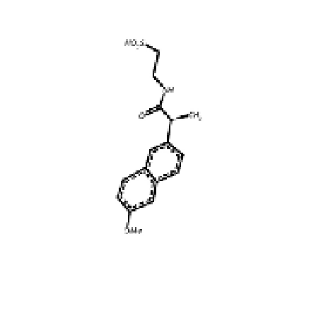 COc1ccc2cc([C@H](C)C(=O)NCCS(=O)(=O)O)ccc2c1